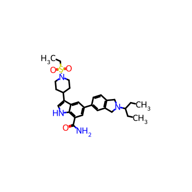 CCC(CC)N1Cc2ccc(-c3cc(C(N)=O)c4[nH]cc(C5CCN(S(=O)(=O)CC)CC5)c4c3)cc2C1